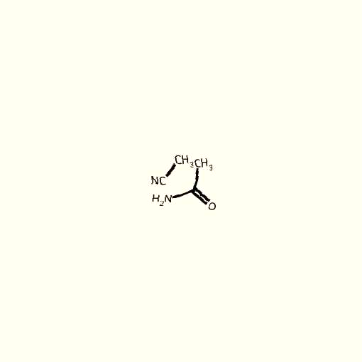 CC#N.CC(N)=O